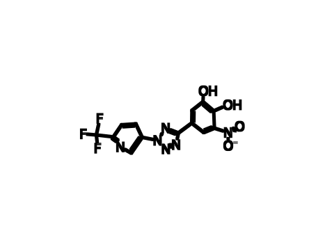 O=[N+]([O-])c1cc(-c2nnn(-c3ccc(C(F)(F)F)nc3)n2)cc(O)c1O